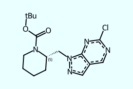 CC(C)(C)OC(=O)N1CCCC[C@H]1Cn1ncc2cnc(Cl)nc21